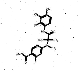 CNC(=O)c1ccc(N(C)C(C)(C)C(=O)Nc2ccc(C#N)c(Cl)c2F)cc1F